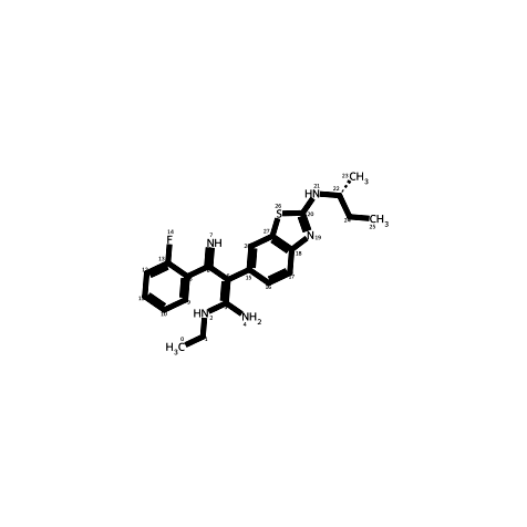 CCN/C(N)=C(\C(=N)c1ccccc1F)c1ccc2nc(N[C@H](C)CC)sc2c1